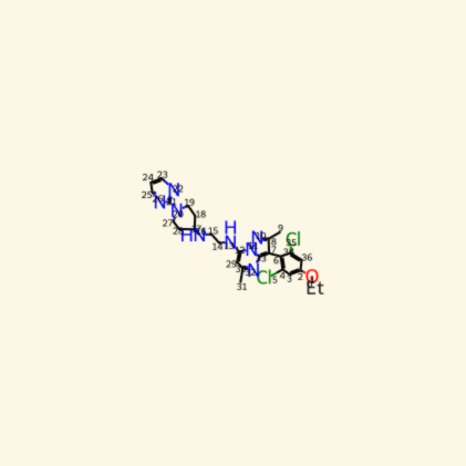 CCOc1cc(Cl)c(-c2c(C)nn3c(NCCNC4CCN(c5ncccn5)CC4)cc(C)nc23)c(Cl)c1